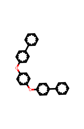 c1ccc(-c2ccc(Oc3ccc(Oc4ccc(-c5ccccc5)cc4)cc3)cc2)cc1